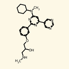 CNCC(O)COc1cccc(-c2nc(-c3cncnc3)cc(N(C)C3CCCCC3)n2)c1